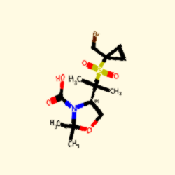 CC1(C)OC[C@H](C(C)(C)S(=O)(=O)C2(CBr)CC2)N1C(=O)O